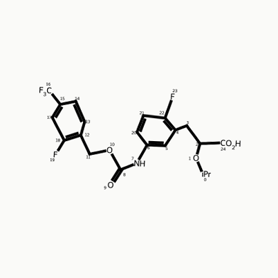 CC(C)OC(Cc1cc(NC(=O)OCc2ccc(C(F)(F)F)cc2F)ccc1F)C(=O)O